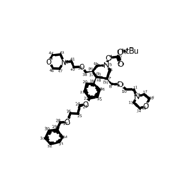 CC(C)(C)OC(=O)ON1C[C@@H](COCCN2CCOCC2)[C@@H](c2ccc(OCCCOCc3ccccc3)cc2)[C@@H](COCCN2CCOCC2)C1